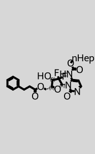 CCCCCCCOC(=O)Nc1ccnc(=O)n1[C@@H]1O[C@H](COC(=O)CCc2ccccc2)[C@@H](O)C1(F)F